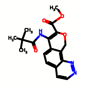 COC(=O)C1=C(NC(=O)C(C)(C)C)c2ccc3ccnnc3c2CO1